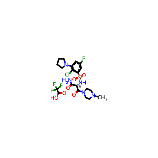 CN1CCN(C(=O)[C@@H](NS(=O)(=O)c2cc(F)cc(N3CCCC3)c2Cl)C(N)=O)CC1.O=C(O)C(F)(F)F